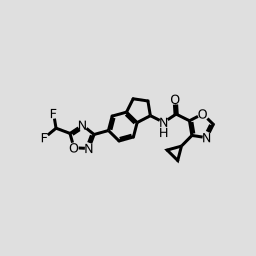 O=C(NC1CCc2cc(-c3noc(C(F)F)n3)ccc21)c1ocnc1C1CC1